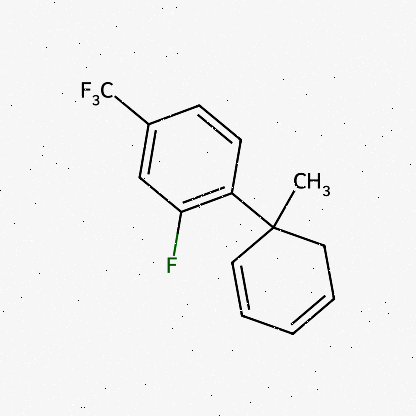 CC1(c2ccc(C(F)(F)F)cc2F)C=CC=CC1